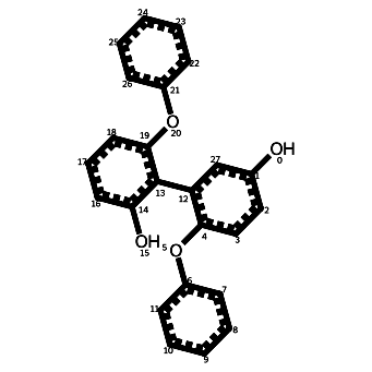 Oc1ccc(Oc2ccccc2)c(-c2c(O)cccc2Oc2ccccc2)c1